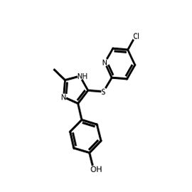 Cc1nc(-c2ccc(O)cc2)c(Sc2ccc(Cl)cn2)[nH]1